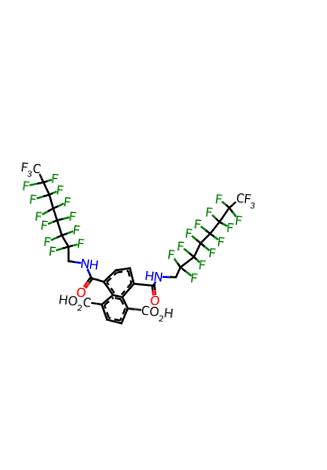 O=C(O)c1ccc(C(=O)O)c2c(C(=O)NCC(F)(F)C(F)(F)C(F)(F)C(F)(F)C(F)(F)C(F)(F)C(F)(F)F)ccc(C(=O)NCC(F)(F)C(F)(F)C(F)(F)C(F)(F)C(F)(F)C(F)(F)C(F)(F)F)c12